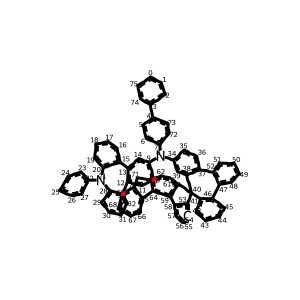 c1ccc(-c2ccc(N(c3ccc4c(c3)-c3ccccc3N(c3ccccc3)c3ccccc3-4)c3ccc4c(c3)C3(c5ccccc5-c5ccccc5-4)c4ccccc4-c4c3ccc3c4-c4ccccc4C3)cc2)cc1